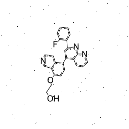 OCCOc1ccc(-c2cc(-c3ccccc3F)nc3ncccc23)c2ccncc12